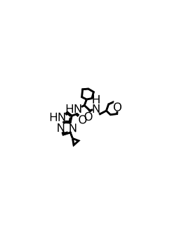 O=C(NC(C(=O)NCC1CCOCC1)C1CCCCC1)c1c[nH]c2ncc(C3CC3)nc12